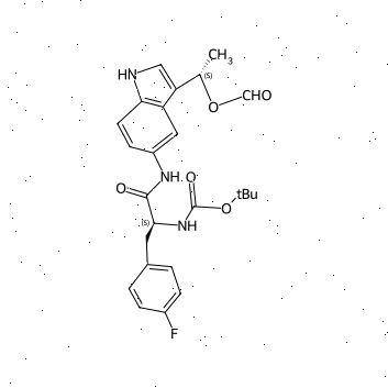 C[C@H](OC=O)c1c[nH]c2ccc(NC(=O)[C@H](Cc3ccc(F)cc3)NC(=O)OC(C)(C)C)cc12